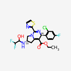 CCOC(=O)C1=C2C[C@H](NC(O)C(F)F)CN2C(c2nccs2)=N[C@H]1c1ccc(F)cc1Cl